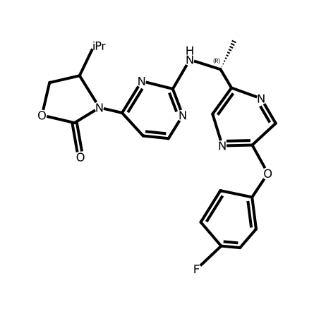 CC(C)C1COC(=O)N1c1ccnc(N[C@H](C)c2cnc(Oc3ccc(F)cc3)cn2)n1